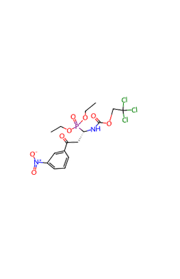 CCOP(=O)(OCC)[C@@H](CC(=O)c1cccc([N+](=O)[O-])c1)NC(=O)OCC(Cl)(Cl)Cl